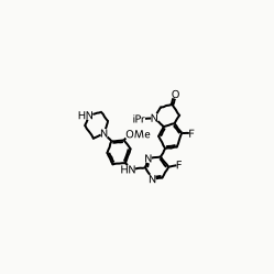 COc1cc(Nc2ncc(F)c(-c3cc(F)c4c(c3)N(C(C)C)CC(=O)C4)n2)ccc1N1CCNCC1